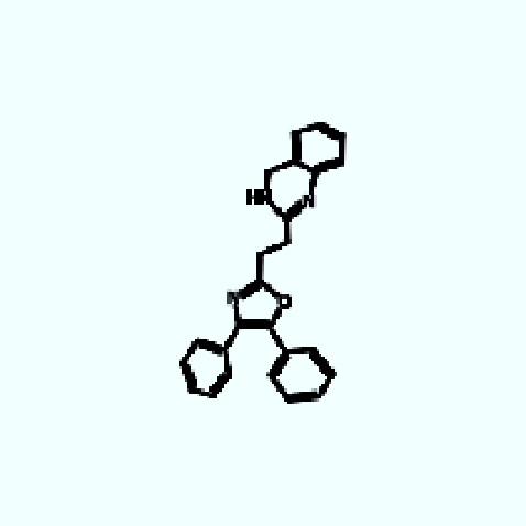 c1ccc(-c2nc(CCC3=Nc4ccccc4CN3)oc2-c2ccccc2)cc1